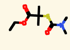 CCOC(=O)C(C)(C)SC(=O)N(C)C